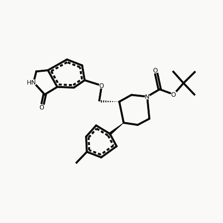 Cc1ccc([C@@H]2CCN(C(=O)OC(C)(C)C)C[C@H]2COc2ccc3c(c2)C(=O)NC3)cc1